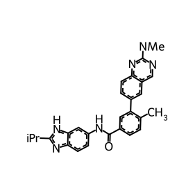 CNc1ncc2cc(-c3cc(C(=O)Nc4ccc5nc(C(C)C)[nH]c5c4)ccc3C)ccc2n1